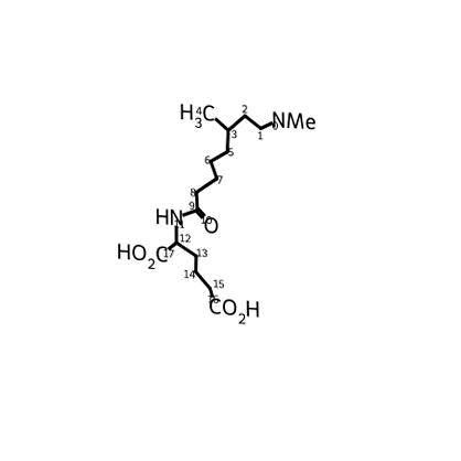 CNCCC(C)CCCCC(=O)NC(CCCC(=O)O)C(=O)O